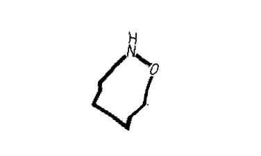 [CH]1CCCNO1